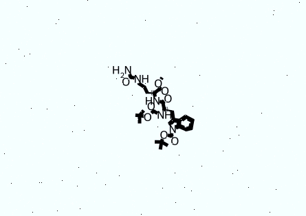 COC(=O)[C@H](CCCNC(N)=O)NC(=O)[C@@H](Cc1cn(C(=O)OC(C)(C)C)c2ccccc12)NC(=O)OC(C)(C)C